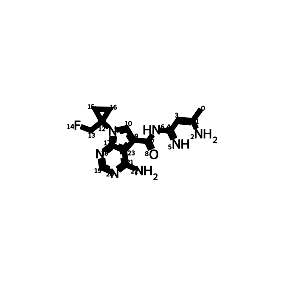 C/C(N)=C/C(=N)NC(=O)c1cn(C2(CF)CC2)c2ncnc(N)c12